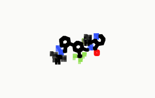 [2H]C1([2H])c2ncccc2C(=O)N1Cc1c(F)cc(-c2cccc3nn(C([2H])([2H])[2H])cc23)cc1C(F)(F)F